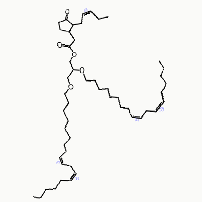 CC/C=C\CC1C(=O)CCC1CC(=O)OCC(COCCCCCCCC/C=C\C/C=C\CCCCC)OCCCCCCCC/C=C\C/C=C\CCCCC